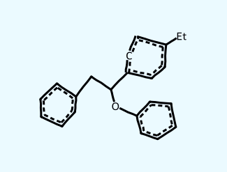 CCc1ccc(C(Cc2ccccc2)Oc2ccccc2)cc1